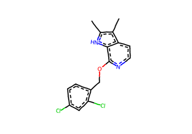 Cc1[nH]c2c(OCc3ccc(Cl)cc3Cl)nccc2c1C